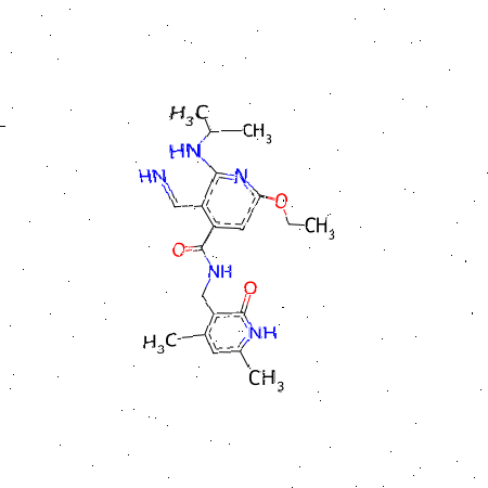 CCOc1cc(C(=O)NCc2c(C)cc(C)[nH]c2=O)c(C=N)c(NC(C)C)n1